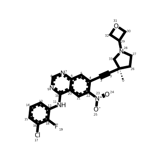 C[C@@]1(C#Cc2cc3ncnc(Nc4cccc(Cl)c4F)c3cc2[N+](=O)[O-])CCN(C2COC2)C1